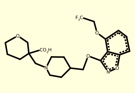 O=C(O)C1(CN2CCC(COc3noc4cccc(OCC(F)(F)F)c34)CC2)CCCOC1